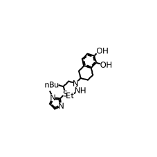 CCCCC(CN(NCC)C1CCc2c(ccc(O)c2O)C1)Sc1nccn1C